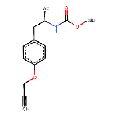 C#CCOc1ccc(C[C@H](NC(=O)OC(C)(C)C)C(C)=O)cc1